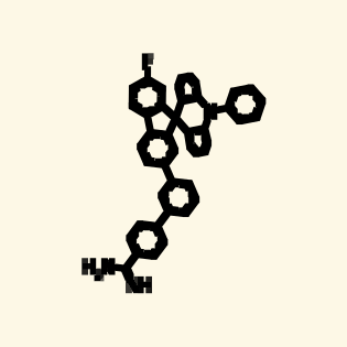 N=C(N)c1ccc(-c2cccc(-c3ccc4c(c3)C3(c5cc(F)ccc5-4)c4ccccc4N(c4ccccc4)c4ccccc43)c2)cc1